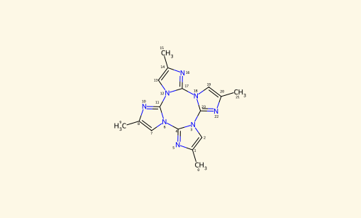 Cc1cn2c(n1)n1cc(C)nc1n1cc(C)nc1n1cc(C)nc21